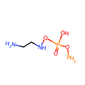 NCCNOP(=O)(O)OP